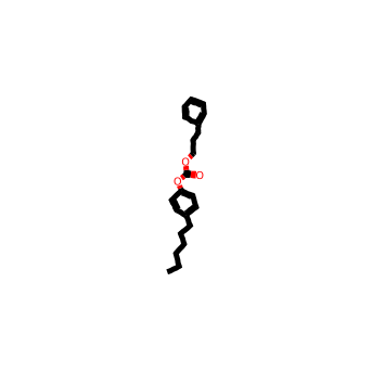 CCCCCCc1ccc(OC(=O)OCCCc2ccccc2)cc1